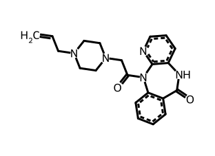 C=CCN1CCN(CC(=O)N2c3ccccc3C(=O)Nc3cccnc32)CC1